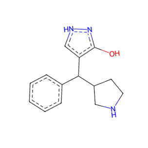 Oc1n[nH]cc1C(c1ccccc1)C1CCNC1